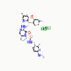 COc1cc(C)ccc1[C@H](CNc1ncc2n(c1=O)[C@H](C(=O)NCc1ccc(N)nc1C)CC2)c1ccc(C)cn1.Cl.Cl.Cl